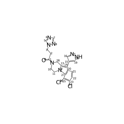 O=C(CCn1cncn1)N1CCn2c(c(-c3cn[nH]c3)c3ccc(Cl)c(Cl)c32)C1